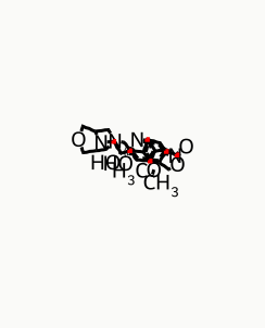 COc1cc(C(O)CN2C3COCC2CN(C[C@H](O)c2ccc4c(c2C)COC4=O)C3)ncc1C#N